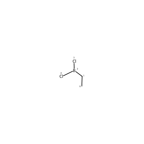 CCB(Cl)Cl